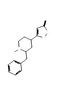 O=C(O)N1CCC(c2cc(=O)[nH]o2)CC1Cc1ccccc1